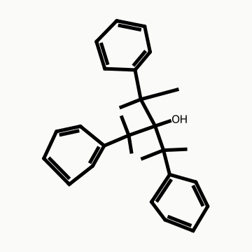 CC(C)(c1ccccc1)C(O)(C(C)(C)c1ccccc1)C(C)(C)c1ccccc1